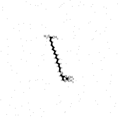 CC(C)CCCCCCCCCCCCCCCOCC1COC(C)(C)O1